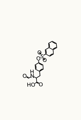 O=CNC(Cc1ccc(OS(=O)(=O)c2ccc3ccccc3c2)cc1)C(=O)O